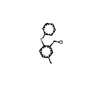 Cc1ccc(Sc2ccccc2)c(CCl)c1